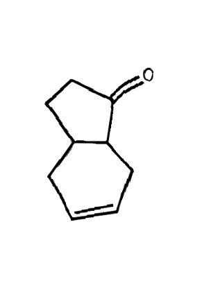 O=C1CCC2CC=CCC12